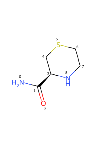 NC(=O)[C@H]1CSCCN1